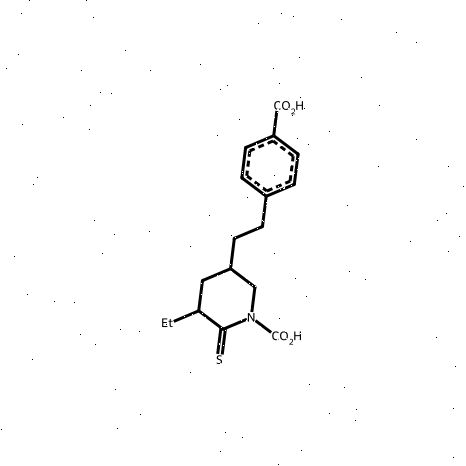 CCC1CC(CCc2ccc(C(=O)O)cc2)CN(C(=O)O)C1=S